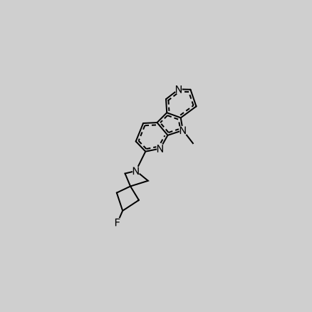 Cn1c2ccncc2c2ccc(N3CC4(CC(F)C4)C3)nc21